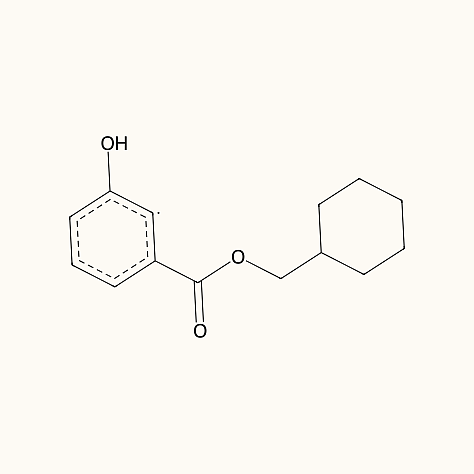 O=C(OCC1CCCCC1)c1[c]c(O)ccc1